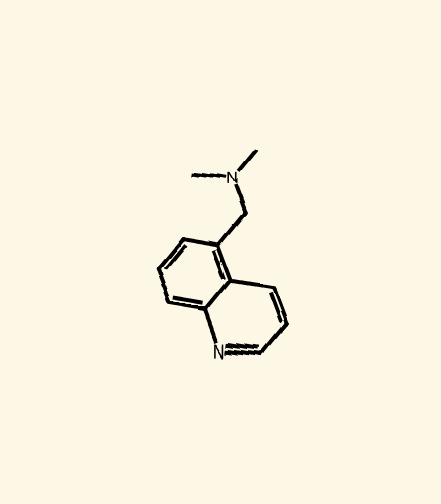 CN(C)Cc1cccc2ncccc12